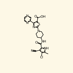 Cc1[nH]c(C(=O)NC2CCN(c3nc(-c4cnccn4)c(C(=O)O)s3)CC2)c(C#N)c1Cl